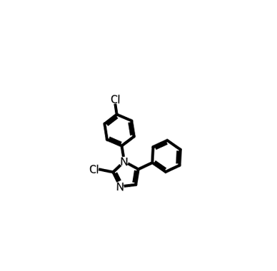 Clc1ccc(-n2c(-c3ccccc3)cnc2Cl)cc1